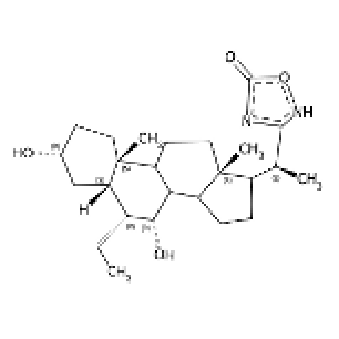 CC[C@H]1[C@@H](O)C2C3CCC([C@H](C)c4nc(=O)o[nH]4)[C@@]3(C)CCC2[C@@]2(C)CC[C@@H](O)C[C@@H]12